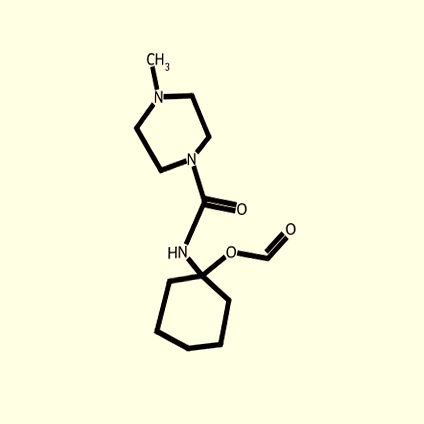 CN1CCN(C(=O)NC2(OC=O)CCCCC2)CC1